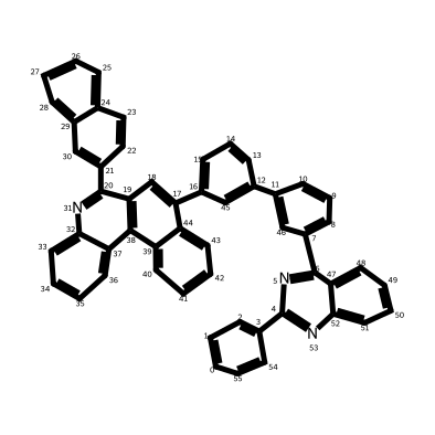 c1ccc(-c2nc(-c3cccc(-c4cccc(-c5cc6c(-c7ccc8ccccc8c7)nc7ccccc7c6c6ccccc56)c4)c3)c3ccccc3n2)cc1